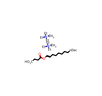 CCCCCCCCCCCCCCCCC=COC(=O)CCC(=O)O.CC[N+](C)(CC)CC.CC[N+](C)(CC)CC